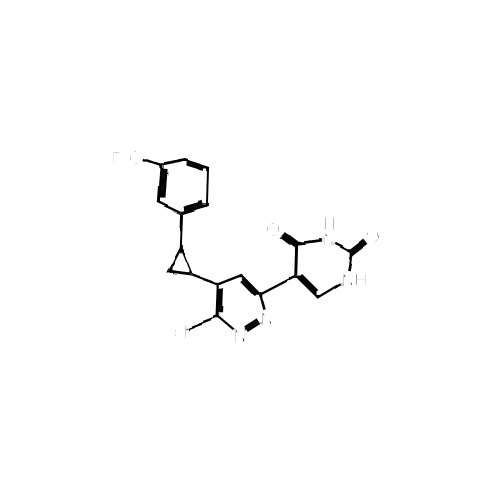 O=c1[nH]cc(-c2cc(C3CC3c3cccc(C(F)(F)F)c3)c(Cl)nn2)c(=O)[nH]1